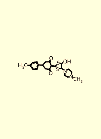 Cc1ccc(C2CC(=O)C(=C3SC(O)C(N4CCN(C)CC4)S3)C(=O)C2)cc1